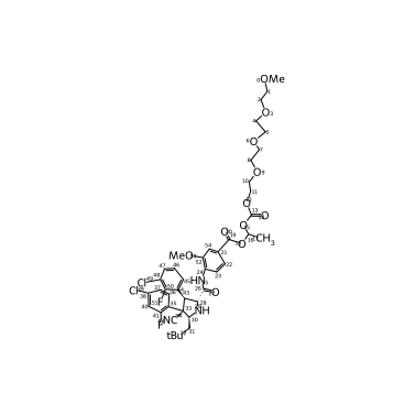 COCCOCCOCCOCCOC(=O)OC(C)OC(=O)c1ccc(NC(=O)[C@@H]2N[C@@H](CC(C)(C)C)[C@](C#N)(c3ccc(Cl)cc3F)[C@H]2c2cccc(Cl)c2F)c(OC)c1